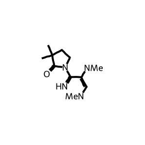 CN/C=C(/NC)C(=N)N1CCC(C)(C)C1=O